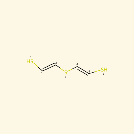 SC=CSC=CS